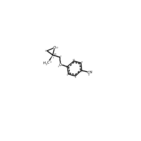 C[C@@]1(COc2ccc(C#N)cc2)CO1